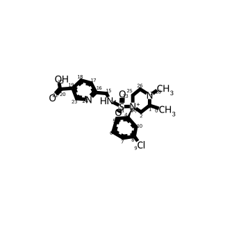 CC1C[N@+](c2cccc(Cl)c2)(S(=O)(=O)NCc2ccc(C(=O)O)cn2)CCN1C